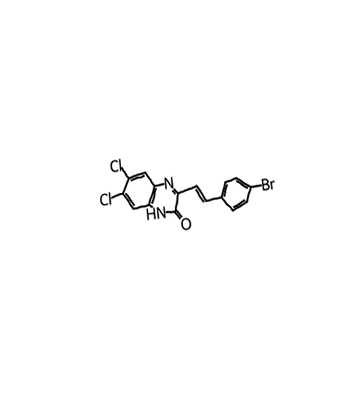 O=c1[nH]c2cc(Cl)c(Cl)cc2nc1C=Cc1ccc(Br)cc1